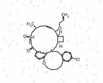 C=CCO[C@@H]1/C=C\C[C@H](C)C/[SH](=O)=N\C(=O)c2ccc3c(c2)N(Cc2ccc(Cl)cc2CCCCO3)C[C@@H]2CC[C@H]21